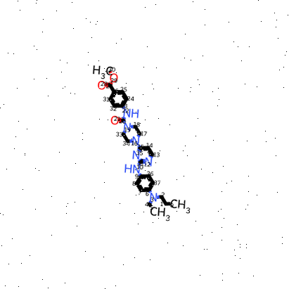 CCCN(CC)c1ccc(Nc2nccc(N3CCN(C(=O)Nc4ccc(C(=O)OC)cc4)CC3)n2)cc1